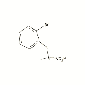 C[C@H](Cc1ccccc1Br)C(=O)O